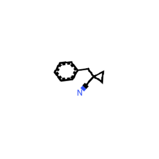 N#CC1(Cc2ccccc2)CC1